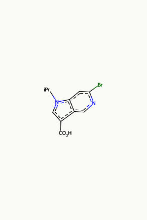 CC(C)n1cc(C(=O)O)c2cnc(Br)cc21